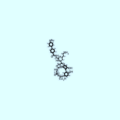 CCCCc1ccc(-c2ccc(C(=O)NCC(=O)N[C@@H](CCCCN)C(=O)N(C)[C@@H]3C(=O)N[C@@H](C)C(=O)N[C@H](C(=O)O)Cc4ccc(O)c(c4)-c4cc3ccc4O)cc2)cc1